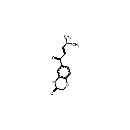 CN(C)C=CC(=O)c1ccc2c(c1)NC(=O)CO2